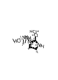 CN.CN.Cl.Cl.Clc1ncc[nH]1